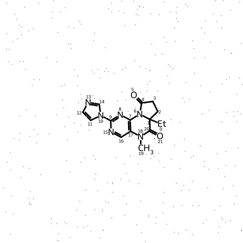 CCC12CCC(=O)N1c1nc(-n3ccnc3)ncc1N(C)C2=O